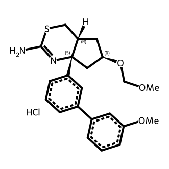 COCO[C@@H]1C[C@H]2CSC(N)=N[C@@]2(c2cccc(-c3cccc(OC)c3)c2)C1.Cl